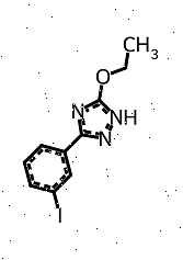 CCOc1nc(-c2cccc(I)c2)n[nH]1